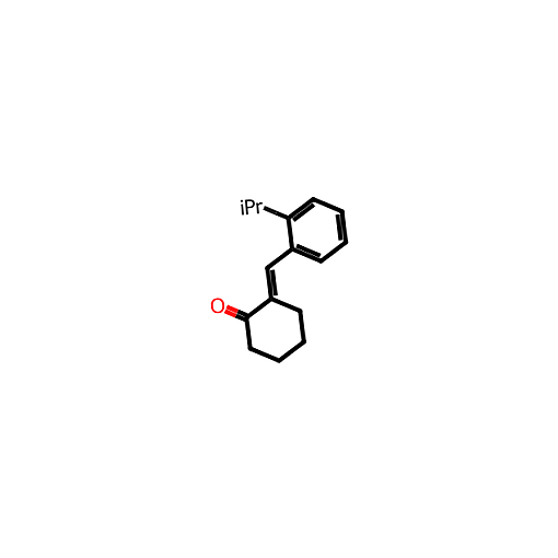 CC(C)c1ccccc1/C=C1\CCCCC1=O